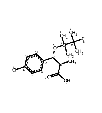 C[C@@H](C(=O)O)[C@@H](O[Si](C)(C)C(C)(C)C)c1ccc(Cl)cc1